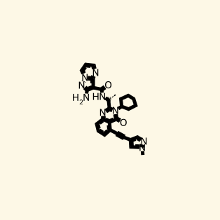 C[C@@H](NC(=O)c1c(N)nn2cccnc12)c1nc2cccc(C#Cc3cnn(C)c3)c2c(=O)n1C1CCCCC1